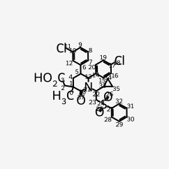 CC1(CC(=O)O)CC(c2cccc(Cl)c2)C(c2ccc(Cl)cc2)N(C(CS(=O)(=O)c2ccccc2)C2CC2)C1=O